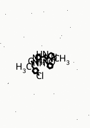 CC(C(=O)Nc1cc(-c2[nH]c3c(c2Nc2ccccc2)C(=O)N(C)CC3)ccn1)c1ccc(Cl)cc1